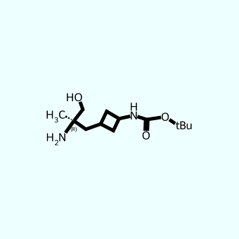 CC(C)(C)OC(=O)NC1CC(C[C@@](C)(N)CO)C1